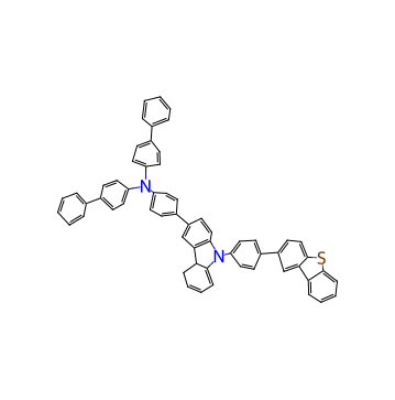 C1=CCC2C(=C1)N(c1ccc(-c3ccc4sc5ccccc5c4c3)cc1)c1ccc(-c3ccc(N(c4ccc(-c5ccccc5)cc4)c4ccc(-c5ccccc5)cc4)cc3)cc12